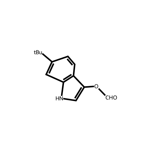 CC(C)(C)c1ccc2c(OC=O)c[nH]c2c1